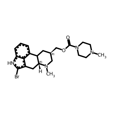 CN1CCN(C(=O)OC[C@@H]2CC3c4cccc5[nH]c(Br)c(c45)C[C@H]3N(C)C2)CC1